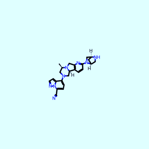 C[C@@H]1CN(c2ccc(C#N)n3nccc23)C[C@@H]2c3ccc(N4C[C@@H]5C[C@H]4CN5)nc3CN12